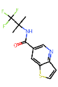 CC(C)(NC(=O)c1cnc2ccsc2c1)C(F)(F)F